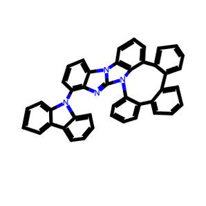 c1ccc2c(c1)c1ccccc1c1cccc3c1n(c1ccccc21)c1nc2c(-n4c5ccccc5c5ccccc54)cccc2n31